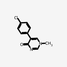 Cn1cnc(=O)c(-c2ccc(Cl)cc2)c1